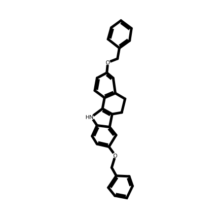 c1ccc(COc2ccc3c(c2)CCc2c-3[nH]c3ccc(OCc4ccccc4)cc23)cc1